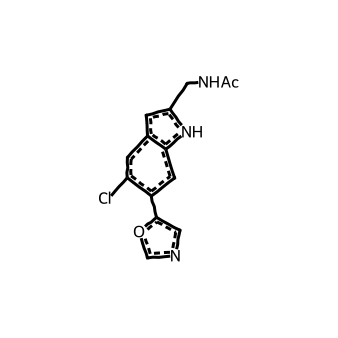 CC(=O)NCc1cc2cc(Cl)c(-c3cnco3)cc2[nH]1